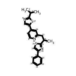 CC(C)c1ncc(-c2ccnc(CC(C)c3nc(-c4ccccc4)cs3)c2)s1